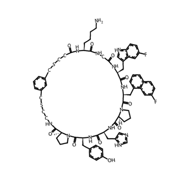 C[C@@]12CCCN1C(=O)[C@H](Cc1ccc(O)cc1)NC(=O)[C@H](Cc1cnc[nH]1)NC(=O)[C@@H]1CCCN1C(=O)[C@H](Cc1cccc3ccc(F)cc13)NC(=O)[C@H](Cc1c[nH]c3ccc(F)cc13)NC(=O)CNC(=O)[C@H](CCCCN)NC(=O)CCSCc1cccc(c1)CSCCNC2=O